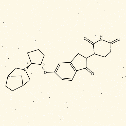 O=C1CCC(C2Cc3cc(O[C@H]4CCC[C@@H]4N4CC5CCC(C5)C4)ccc3C2=O)C(=O)N1